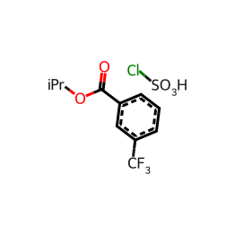 CC(C)OC(=O)c1cccc(C(F)(F)F)c1.O=S(=O)(O)Cl